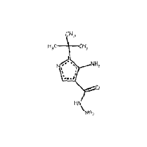 CC(C)(C)n1ncc(C(=O)NN)c1N